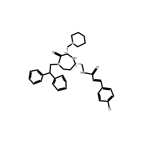 O=C(C=Cc1ccc(Cl)cc1)NC[C@@H]1CCN(CC(c2ccccc2)c2ccccc2)C(=O)[C@H](CN2CCCCC2)N1